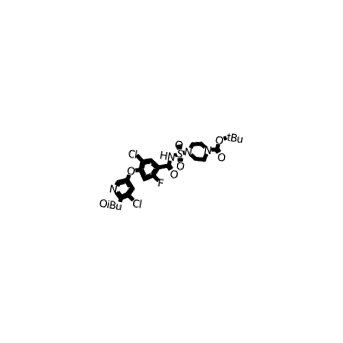 CC(C)COc1ncc(Oc2cc(F)c(C(=O)NS(=O)(=O)N3CCN(C(=O)OC(C)(C)C)CC3)cc2Cl)cc1Cl